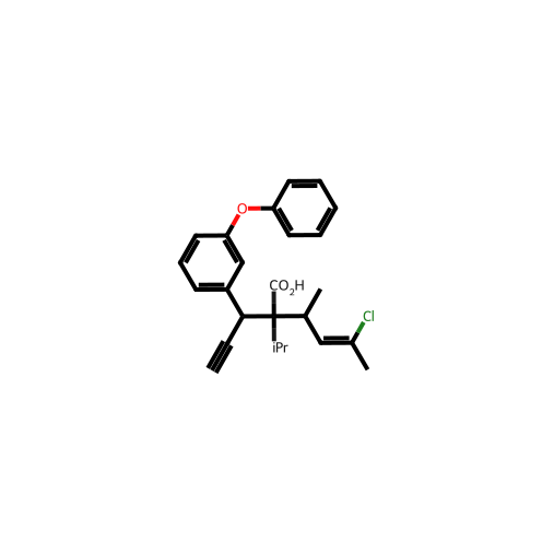 C#CC(c1cccc(Oc2ccccc2)c1)C(C(=O)O)(C(C)C)C(C)C=C(C)Cl